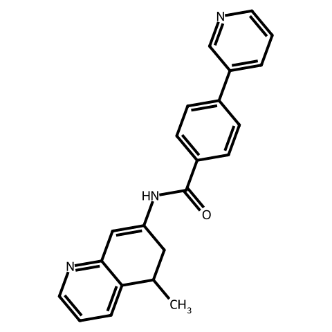 CC1CC(NC(=O)c2ccc(-c3cccnc3)cc2)=Cc2ncccc21